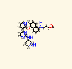 COCCCNc1cccc2c(Oc3ncccc3-c3ccnc(N[C@H]4CCCNC4)n3)c(C)ccc12